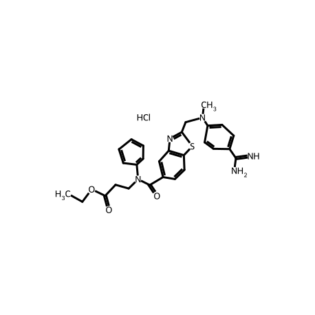 CCOC(=O)CCN(C(=O)c1ccc2sc(CN(C)c3ccc(C(=N)N)cc3)nc2c1)c1ccccc1.Cl